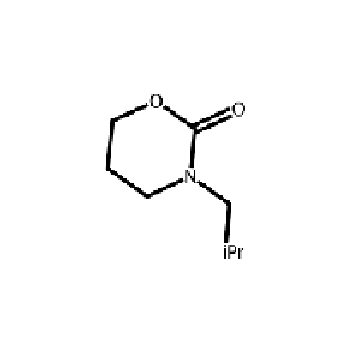 CC(C)CN1CCCOC1=O